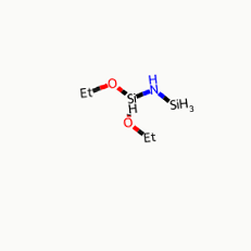 CCO[SiH](N[SiH3])OCC